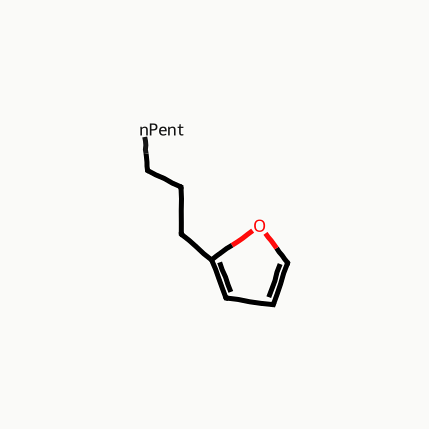 [CH2]CCCCCCCc1ccco1